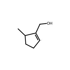 CC1CC[C]=C1CO